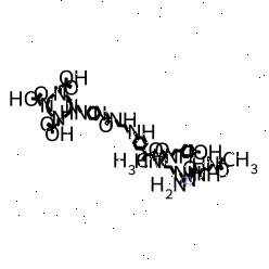 CCC(=O)NCCNC(=O)/N=C(/N)NCCC[C@@H](NC(=O)C(C)c1ccc(NCCCNC(=O)CN2CCC(NCN3CCN(CC(=O)O)CCN(CC(=O)O)CCN(CC(=O)O)CC3)CC2)cc1)C(=O)NCc1ccc(O)cc1